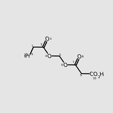 CC(C)CC(=O)OCOC(=O)CC(=O)O